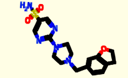 NS(=O)(=O)c1cnc(N2CCN(Cc3ccc4c(c3)OCC4)CC2)nc1